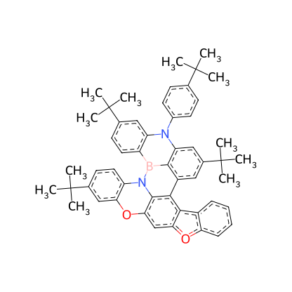 CC(C)(C)c1ccc(N2c3cc(C(C)(C)C)ccc3B3c4c(cc(C(C)(C)C)cc42)-c2c4c(cc5oc6ccccc6c25)Oc2cc(C(C)(C)C)ccc2N34)cc1